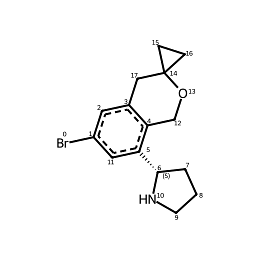 Brc1cc2c(c([C@@H]3CCCN3)c1)COC1(CC1)C2